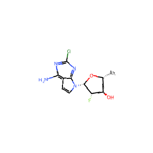 CC[C@H]1O[C@@H](n2ccc3c(N)nc(Cl)nc32)[C@@H](F)[C@@H]1O